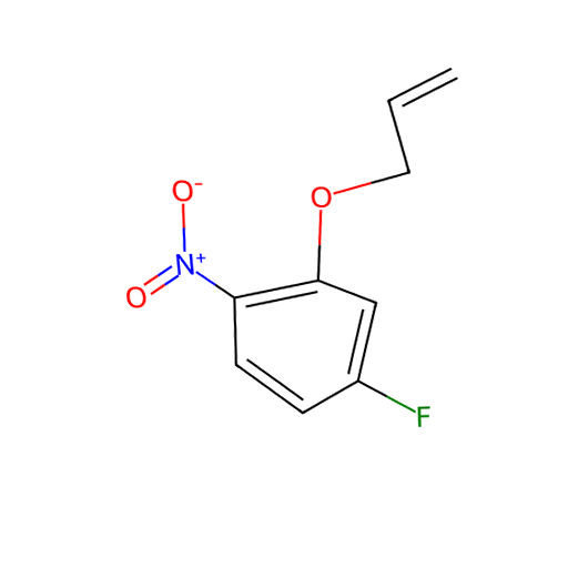 C=CCOc1cc(F)ccc1[N+](=O)[O-]